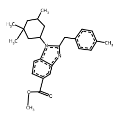 COC(=O)c1ccc2c(c1)nc(Cc1ccc(C)cc1)n2C1CC(C)CC(C)(C)C1